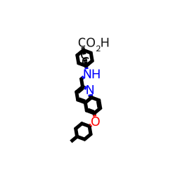 CC1CCC(Oc2ccc3nc(CNC45CCC(C(=O)O)(CC4)CC5)ccc3c2)CC1